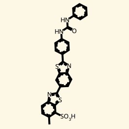 Cc1ccc2nc(-c3ccc4nc(-c5ccc(NC(=O)Nc6ccccc6)cc5)sc4c3)sc2c1S(=O)(=O)O